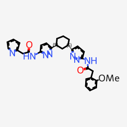 COc1ccccc1CC(=O)Nc1ccc([C@H]2CCC[C@H](c3ccc(NC(=O)Cc4ccccn4)nn3)C2)nn1